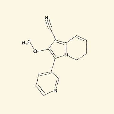 COc1c(C#N)c2n(c1-c1cccnc1)CCC=C2